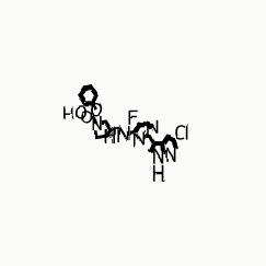 O=C(Oc1ccccc1O)N1CCC[C@H](CNc2nc(-c3c[nH]c4ncc(Cl)cc34)ncc2F)C1